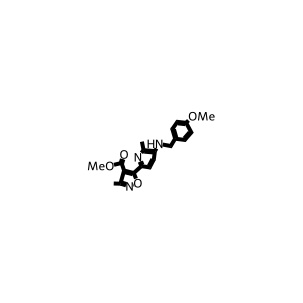 COC(=O)c1c(C)noc1-c1ccc(NCc2ccc(OC)cc2)c(C)n1